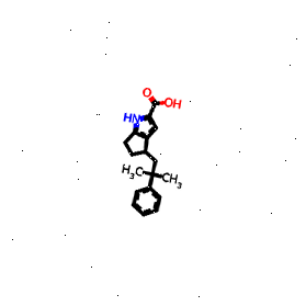 CC(C)(CC1CCc2[nH]c(C(=O)O)cc21)c1ccccc1